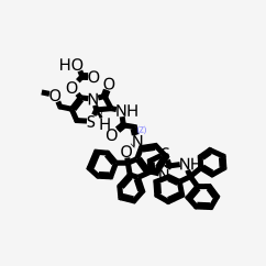 COCC1=C(OC(=O)O)N2C(=O)C(NC(=O)/C=N\OC(c3ccccc3)(c3ccccc3)c3ccccc3-c3csc(NC(c4ccccc4)(c4ccccc4)c4ccccc4)n3)[C@@H]2SC1